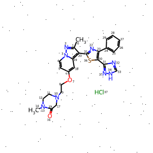 Cc1nn2ccc(OCCN3CCN(C)C(=O)C3)cc2c1-c1nc(-c2ccccc2)c(-c2nc[nH]n2)s1.Cl